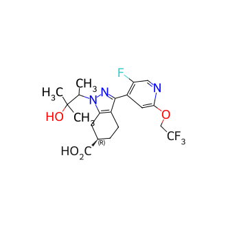 CC(n1nc(-c2cc(OCC(F)(F)F)ncc2F)c2c1C[C@H](C(=O)O)CC2)C(C)(C)O